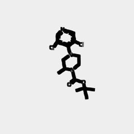 CC1CN(c2c(Cl)cncc2Cl)CCN1C(=O)OC(C)(C)C